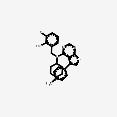 Cc1ccc(-c2csc3ncnc(N(Cc4cccc(F)c4O)C4CCNCC4)c23)cc1